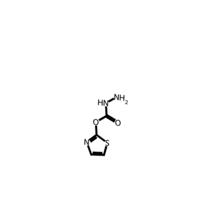 NNC(=O)Oc1nccs1